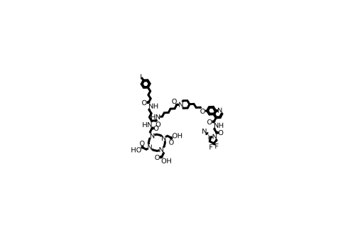 N#C[C@H]1CC(F)(F)CN1C(=O)CNC(=O)c1ccnc2ccc(OCCCC3CCN(C(=O)CCCCCNC(=O)C(CCCNC(=O)CCCc4ccc(I)cc4)NC(=O)CN4CCN(CC(=O)O)CCN(CC(=O)O)CCN(CC(=O)O)CC4)CC3)cc12